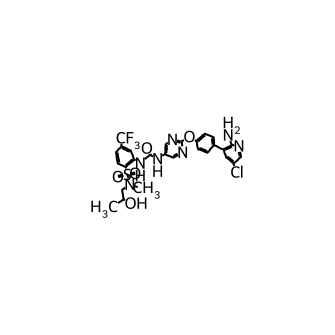 CC(O)CN(C)S(=O)(=O)c1ccc(C(F)(F)F)cc1NC(=O)Nc1cnc(Oc2ccc(-c3cc(Cl)cnc3N)cc2)nc1